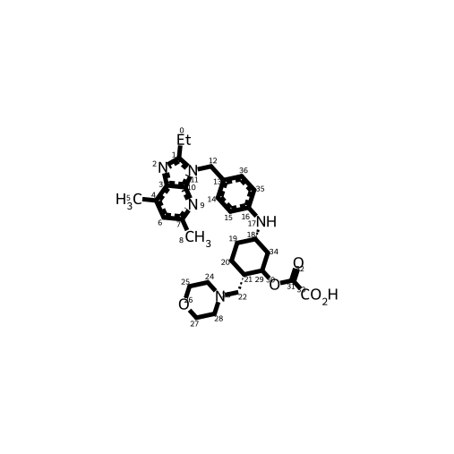 CCc1nc2c(C)cc(C)nc2n1Cc1ccc(N[C@H]2CC[C@@H](CN3CCOCC3)C(OC(=O)C(=O)O)C2)cc1